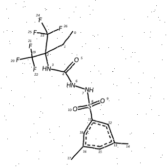 CCC(NC(=O)NNS(=O)(=O)c1cc(C)cc(C)c1)(C(F)(F)F)C(F)(F)F